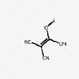 N#CC(C#N)=C(O)OI